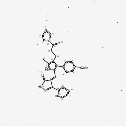 COc1ccc(-c2c(C=C3C(=O)NN=C3c3cnccn3)[nH]c(C)c2CCC(=O)n2ccnc2)cc1